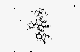 COc1c(C#N)cccc1-c1nc(N)c(C(=O)NOCC(C)(C)O)c(O[C@H]2CCOC2)n1